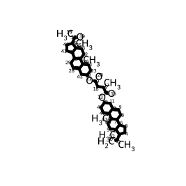 C=C(C)C1CCC2C3CC=C4CC(OC(=O)C(C)CC(=O)OC5CCC6(C)C(=CCC7C6CCC6(C)C(C(C)=O)CCC76)C5)CCC4(C)C3CCC12C